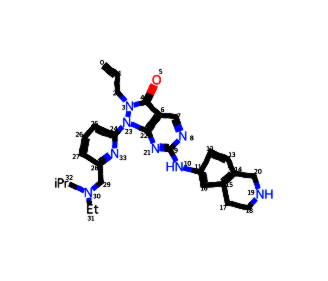 C=CCn1c(=O)c2cnc(Nc3ccc4c(c3)CCNC4)nc2n1-c1cccc(CN(CC)C(C)C)n1